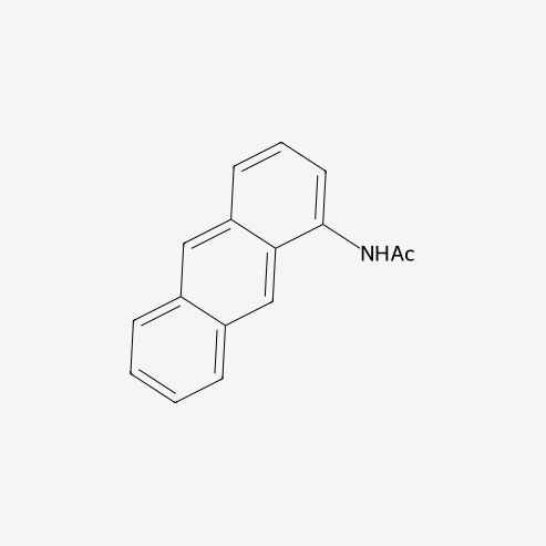 CC(=O)Nc1cccc2cc3ccccc3cc12